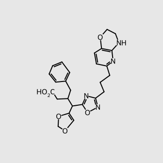 O=C(O)CC(Cc1ccccc1)C(C1=COCO1)c1nc(CCCc2ccc3c(n2)NCCO3)no1